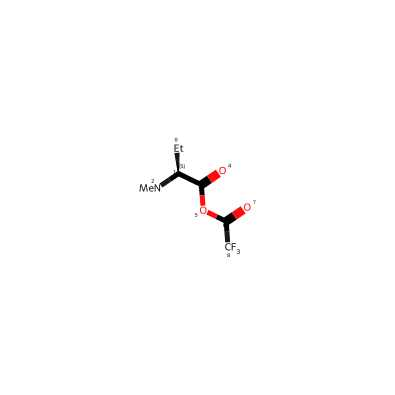 CC[C@H](NC)C(=O)OC(=O)C(F)(F)F